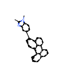 Cc1nc2cc(-c3ccc4c5cccc6cccc(c7cccc3c74)c65)ccc2n1C